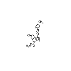 CCc1ccc(N2CC3(CC(c4nnc5n4-c4ccc(Cl)cc4CN(C(=O)OC)C5)C3)C2)nc1